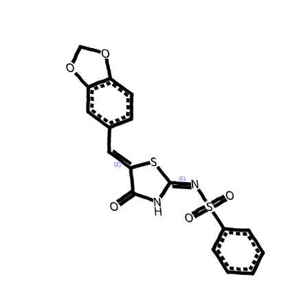 O=C1N/C(=N\S(=O)(=O)c2ccccc2)S/C1=C\c1ccc2c(c1)OCO2